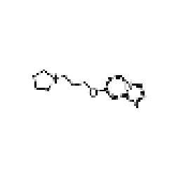 c1cn2ccc(OCCCN3CCCC3)cc2n1